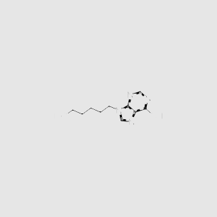 OCCCCCn1cnc2c(S)ncnc21